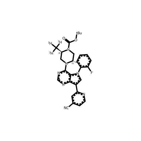 [2H]C([2H])([2H])[C@@H]1CN(c2ncnc3c(-c4cc(C#N)ccn4)cn(-c4ccccc4F)c23)[C@@H](C)CN1C(=O)OC(C)(C)C